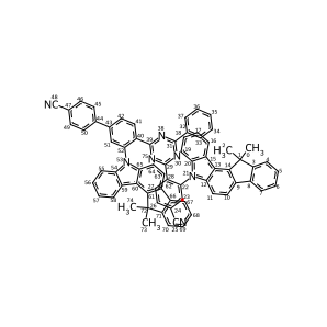 CC1(C)c2ccccc2-c2ccc3c(c21)c1ccccc1n3-c1cc(C#N)ccc1-c1nc(-c2ccccc2)nc(-c2ccc(-c3ccc(C#N)cc3)cc2-n2c3ccccc3c3c4c(ccc32)-c2ccccc2C4(C)C)n1